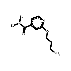 CCN(CC)C(=O)c1ccnc(OCCCN)c1